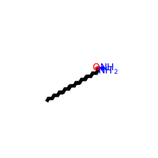 CCCCCC=CCC=CCC=CCC=CCCCC(=O)NN